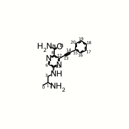 CC(N)CNc1cnc(C(N)=O)c(C#Cc2ccccc2)n1